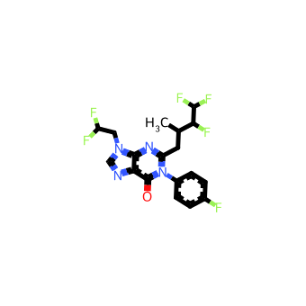 CC(Cc1nc2c(ncn2CC(F)F)c(=O)n1-c1ccc(F)cc1)C(F)C(F)F